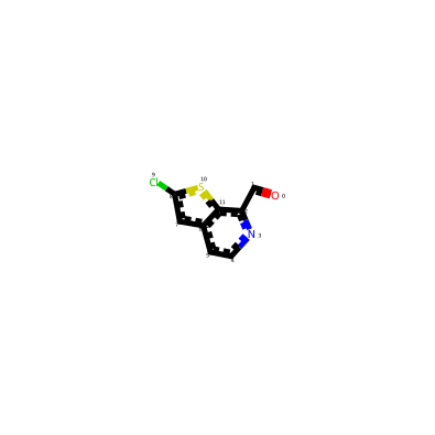 O=Cc1nccc2cc(Cl)sc12